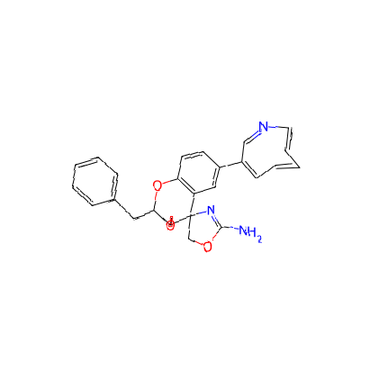 NC1=NC2(CO1)c1cc(C3=C/C=C/C=C/N=C\3)ccc1OC(Cc1ccccc1)C21COC1